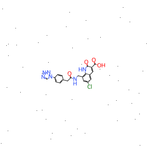 O=C(Cc1ccc(-n2cnnn2)cc1)NCc1cc(Cl)cc2cc(C(=O)O)c(=O)[nH]c12